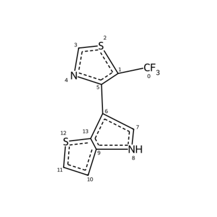 FC(F)(F)c1scnc1-c1c[nH]c2ccsc12